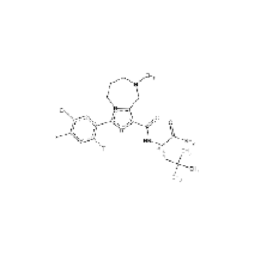 CN1CCCn2c(-c3cc(Cl)c(F)cc3F)nc(C(=O)N[C@@H](CC(C)(C)C)C(N)=O)c2C1